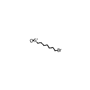 O=[S+]CCCCCCCBr